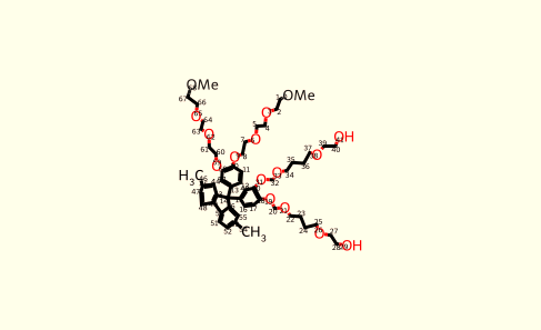 COCCOCCOCCOc1ccc(C2(c3ccc(OCOCCCCOCCO)c(OCOCCCCOCCO)c3)c3cc(C)ccc3-c3ccc(C)cc32)cc1OCCOCCOCCOC